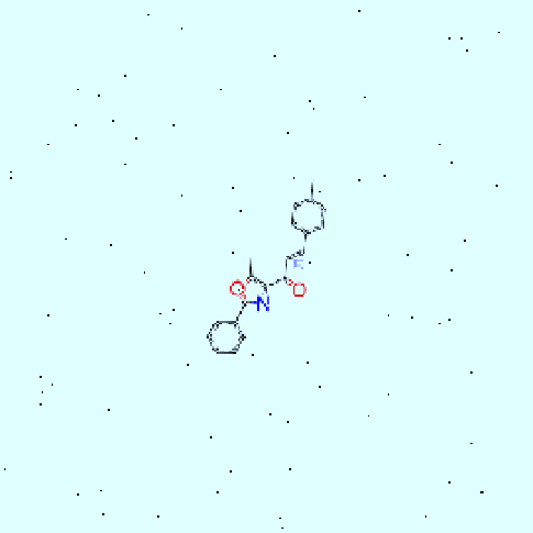 Cc1ccc(/C=C/C(=O)c2nc(-c3ccccc3)oc2C)cc1